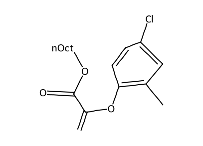 C=C(Oc1ccc(Cl)cc1C)C(=O)OCCCCCCCC